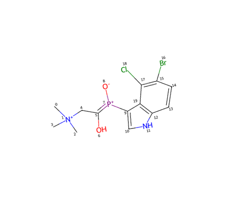 C[N+](C)(C)CC(O)=[P+]([O-])c1c[nH]c2ccc(Br)c(Cl)c12